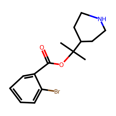 CC(C)(OC(=O)c1ccccc1Br)C1CCNCC1